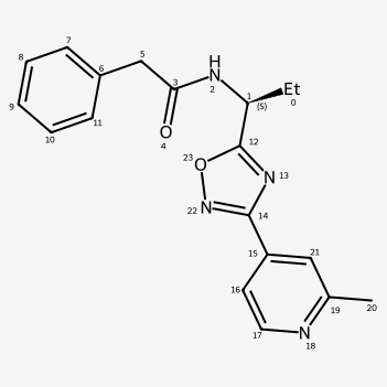 CC[C@H](NC(=O)Cc1ccccc1)c1nc(-c2ccnc(C)c2)no1